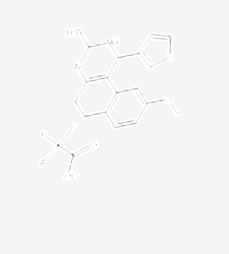 COc1ccc2c(c1)C1=C(CC2)N=C(N)NC1c1ccsc1.O=C(O)C(F)(F)F